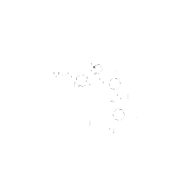 CNc1cc(-n2nc(C)cc2Nc2cc(NC(=O)c3cc(C(C)N4CCCC4)cc(C(F)(F)F)c3)ccc2C)ncn1